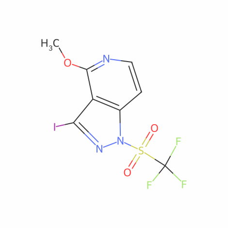 COc1nccc2c1c(I)nn2S(=O)(=O)C(F)(F)F